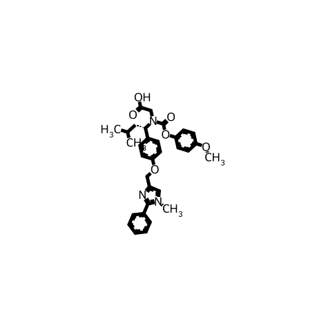 COc1ccc(OC(=O)N(CC(=O)O)[C@@H](CC(C)C)c2ccc(OCc3cn(C)c(-c4ccccc4)n3)cc2)cc1